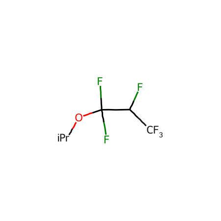 CC(C)OC(F)(F)C(F)C(F)(F)F